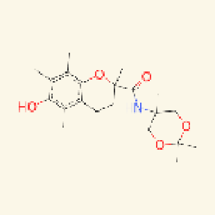 Cc1c(C)c2c(c(C)c1O)CCC(C)(C(=O)NC1(C)COC(C)(C)OC1)O2